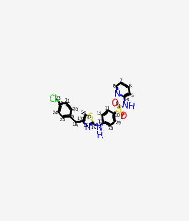 O=S(=O)(Nc1ccccn1)c1ccc(Nc2nc(Cc3ccc(Cl)cc3)cs2)cc1